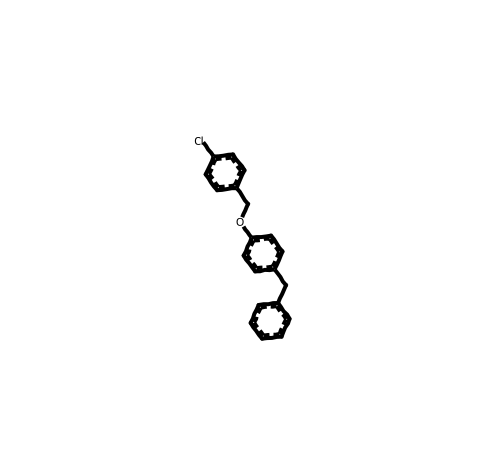 Clc1ccc(COc2ccc(Cc3ccccc3)cc2)cc1